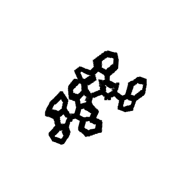 c1ccc(-c2ccccc2-c2nc(-c3cccc4ccccc34)nc(-n3c4ccccc4c4c(-n5c6ccccc6c6ccccc65)c5ccccc5cc43)n2)cc1